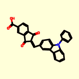 O=C(O)c1ccc2c(c1)C(=O)C(=Cc1ccc3c(c1)c1ccccc1n3-c1ccccc1)C2=O